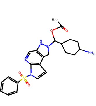 CC(=O)OC(C1CCC(N)CC1)N1Cc2c(cnc3c2ccn3S(=O)(=O)c2ccccc2)N1